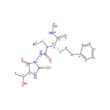 CC(C)CC(C(=O)NN1C(=O)NC(C(C)O)C1=O)[C@@H](CCCc1ccccc1)C(=O)NO